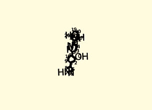 Oc1cc(-c2cn[nH]c2)ccc1-c1ccc(C2C[C@H]3CC[C@@H](C2)N3)nn1